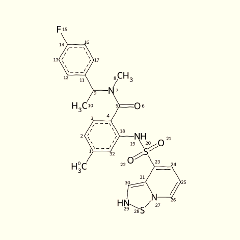 Cc1ccc(C(=O)N(C)C(C)c2ccc(F)cc2)c(NS(=O)(=O)C2=CC=CN3SNC=C23)c1